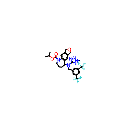 CC(C)OC(=O)N1CCCC(N(Cc2cc(C(F)(F)F)cc(C(F)(F)F)c2)c2nnn(C)n2)c2cc3c(cc21)COC3